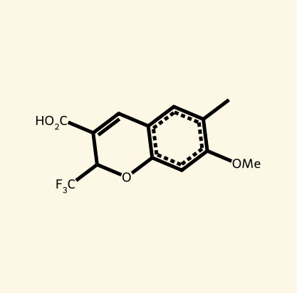 COc1cc2c(cc1C)C=C(C(=O)O)C(C(F)(F)F)O2